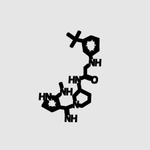 CNc1[nH]ccc1C(=N)N1CCCC(NC(=O)CNc2cccc(C(C)(C)C)c2)C1